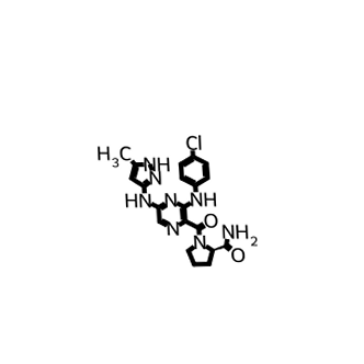 Cc1cc(Nc2cnc(C(=O)N3CCC[C@@H]3C(N)=O)c(Nc3ccc(Cl)cc3)n2)n[nH]1